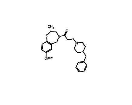 COc1ccc2c(c1)CN(C(=O)CCN1CCC(Cc3ccccc3)CC1)C[C@@H](C)S2